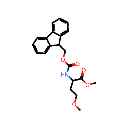 COCCC(NC(=O)OCC1c2ccccc2-c2ccccc21)C(=O)OC